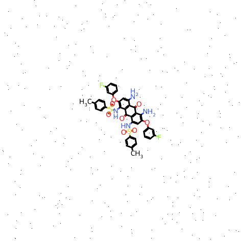 Cc1ccc(S(=O)(=O)Nc2cc(Oc3cccc(F)c3)c(N)c3c2C(=O)c2c(NS(=O)(=O)c4ccc(C)cc4)c(Oc4cccc(F)c4)cc(N)c2C3=O)cc1